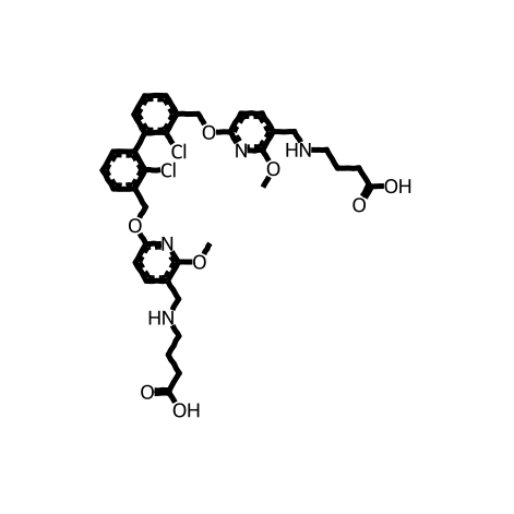 COc1nc(OCc2cccc(-c3cccc(COc4ccc(CNCCCC(=O)O)c(OC)n4)c3Cl)c2Cl)ccc1CNCCCC(=O)O